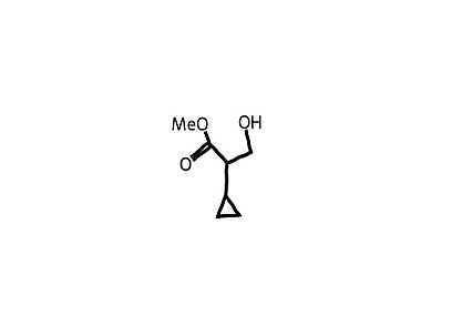 COC(=O)C(CO)C1CC1